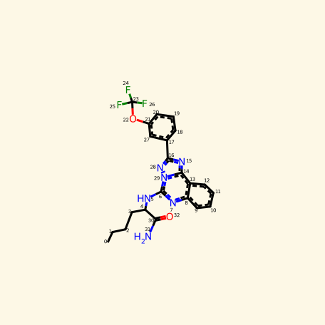 CCCCC(Nc1nc2ccccc2c2nc(-c3cccc(OC(F)(F)F)c3)nn12)C(N)=O